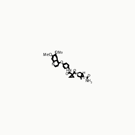 COc1cc2nccc(Oc3ccc(NC(=O)C4(C(=O)N5C[C@H]6[C@H](C(N)=O)C6(C)C5)CC4)cc3)c2cc1OC